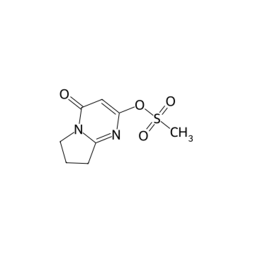 CS(=O)(=O)Oc1cc(=O)n2c(n1)CCC2